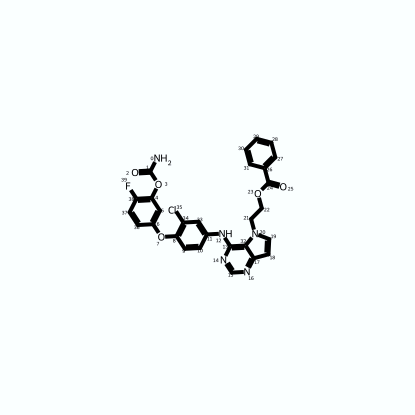 NC(=O)Oc1cc(Oc2ccc(Nc3ncnc4ccn(CCOC(=O)c5ccccc5)c34)cc2Cl)ccc1F